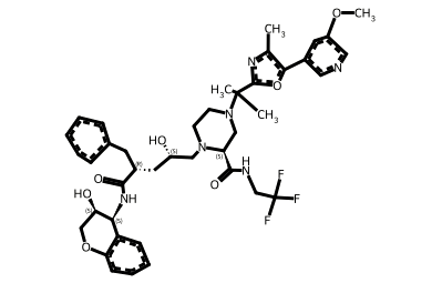 COc1cncc(-c2oc(C(C)(C)N3CCN(C[C@@H](O)C[C@@H](Cc4ccccc4)C(=O)N[C@H]4c5ccccc5OC[C@H]4O)[C@H](C(=O)NCC(F)(F)F)C3)nc2C)c1